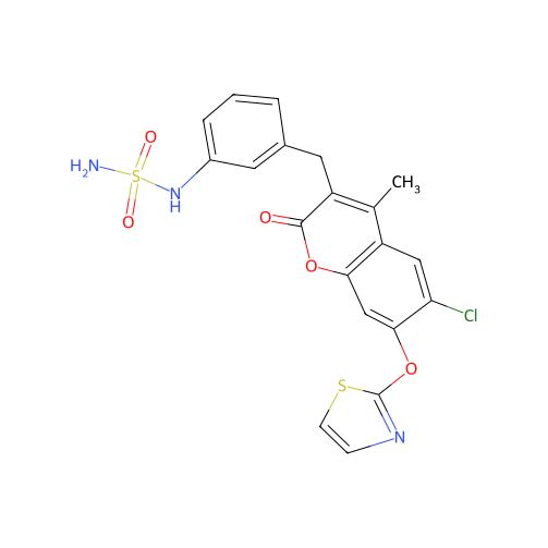 Cc1c(Cc2cccc(NS(N)(=O)=O)c2)c(=O)oc2cc(Oc3nccs3)c(Cl)cc12